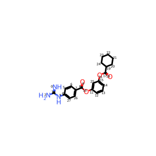 N=C(N)Nc1ccc(C(=O)Oc2cccc(OC(=O)C3CCCCC3)c2)cc1